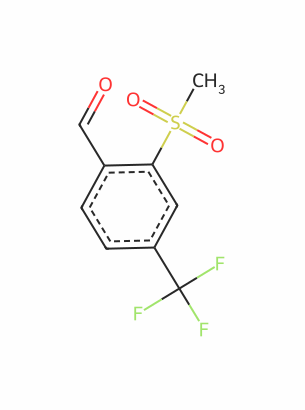 CS(=O)(=O)c1cc(C(F)(F)F)ccc1C=O